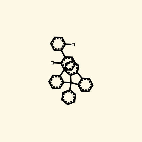 Clc1ccccc1-c1cccc(-c2ccccc2C2(c3ccccc3)c3ccccc3-c3ccccc32)c1Cl